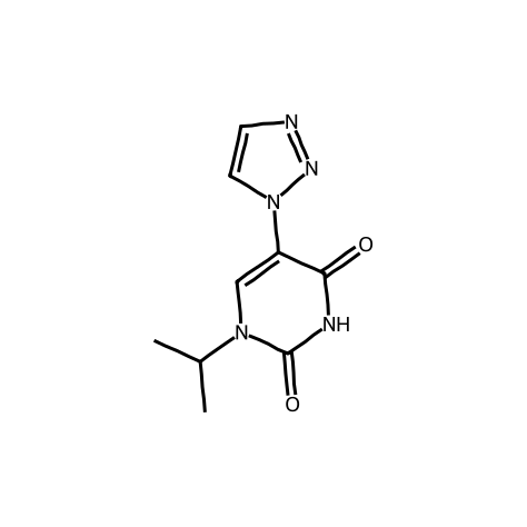 CC(C)n1cc(-n2ccnn2)c(=O)[nH]c1=O